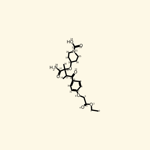 CCOC(=O)COc1ccc(C(=O)C(C)C(C)(OC2CCN(C(=O)O)CC2)C(N)=O)cc1